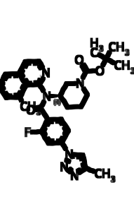 Cc1cn(-c2ccc(C(=O)N(c3nccc4cccc(C)c34)[C@@H]3CCCN(C(=O)OC(C)(C)C)C3)c(F)c2)nn1